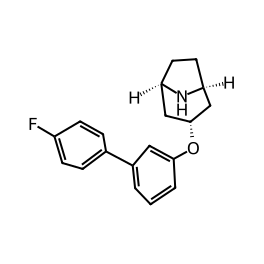 Fc1ccc(-c2cccc(O[C@@H]3C[C@H]4CC[C@@H](C3)N4)c2)cc1